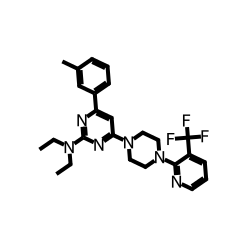 CCN(CC)c1nc(-c2cccc(C)c2)cc(N2CCN(c3ncccc3C(F)(F)F)CC2)n1